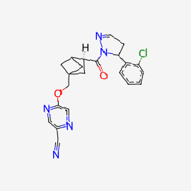 N#Cc1cnc(OCC23CC(C2)[C@@H](C(=O)N2N=CCC2c2ccccc2Cl)C3)cn1